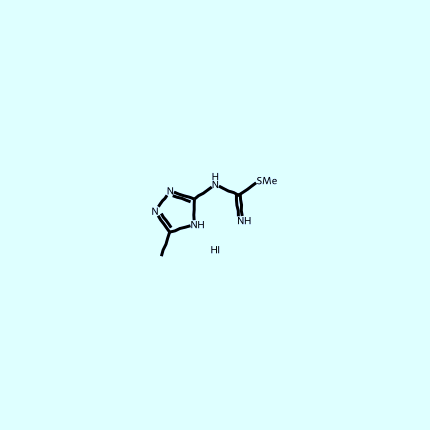 CSC(=N)Nc1nnc(C)[nH]1.I